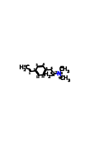 C=Cc1ccc(C[SiH2]N(C)C)cc1